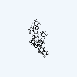 c1ccc(-c2cc(-c3cccc4c3oc3ccccc34)cc(-c3cccc4oc5c(-c6ccc7ccccc7c6)cncc5c34)c2)cc1